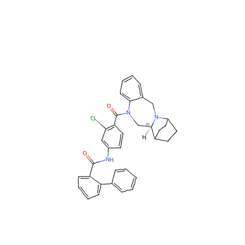 O=C(Nc1ccc(C(=O)N2C[C@@H]3C4CCC(CC4)N3Cc3ccccc32)c(Cl)c1)c1ccccc1-c1ccccc1